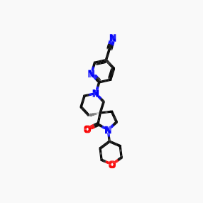 N#Cc1ccc(N2CCC[C@@]3(CCN(C4CCOCC4)C3=O)C2)nc1